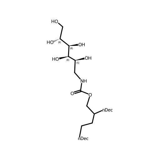 CCCCCCCCCCCCC(CCCCCCCCCC)COC(=O)NC[C@H](O)[C@@H](O)[C@H](O)[C@H](O)CO